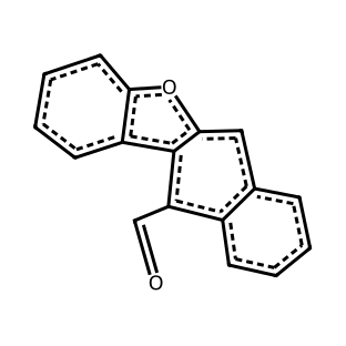 O=Cc1c2ccccc2cc2oc3ccccc3c12